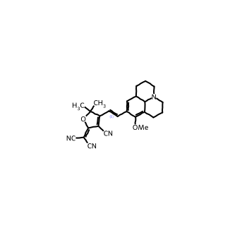 COC1=C2CCCN3CCCC(C=C1/C=C/C1=C(C#N)C(=C(C#N)C#N)OC1(C)C)C23